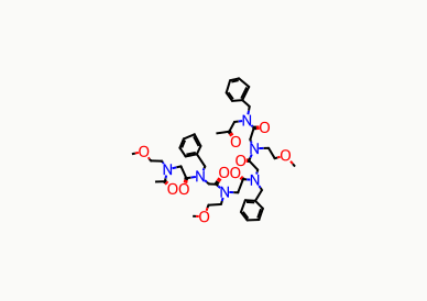 COCCN(CC(=O)N(CC(=O)N(CCOC)CC(=O)N(CC(=O)N(CCOC)CC(=O)N(CC(C)=O)Cc1ccccc1)Cc1ccccc1)Cc1ccccc1)C(C)=O